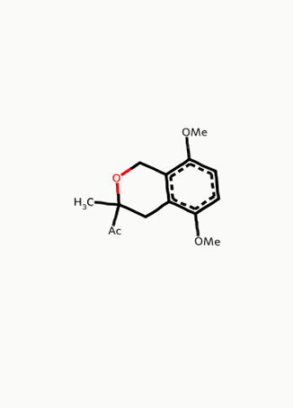 COc1ccc(OC)c2c1COC(C)(C(C)=O)C2